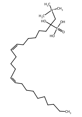 CCCCCCCCC/C=C\CCC/C=C\CCCCCC(O)(C[N+](C)(C)C)P(=O)(O)O